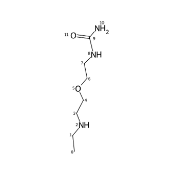 CCNCCOCCNC(N)=O